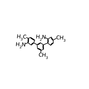 Cc1cc(-c2ccc(C)c(N)c2)cc(-c2ccc(C)cc2N)c1